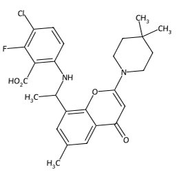 Cc1cc(C(C)Nc2ccc(Cl)c(F)c2C(=O)O)c2oc(N3CCC(C)(C)CC3)cc(=O)c2c1